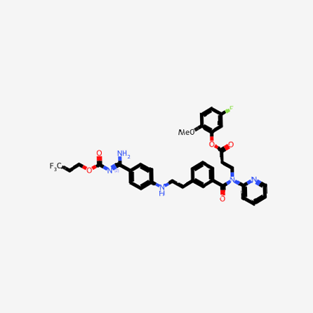 COc1ccc(F)cc1OC(=O)CCN(C(=O)c1cccc(CCNc2ccc(/C(N)=N/C(=O)OCCC(F)(F)F)cc2)c1)c1ccccn1